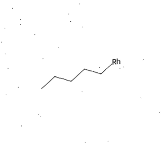 CCCC[CH2][Rh]